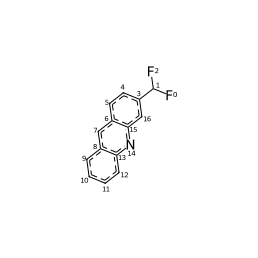 FC(F)c1ccc2cc3ccccc3nc2c1